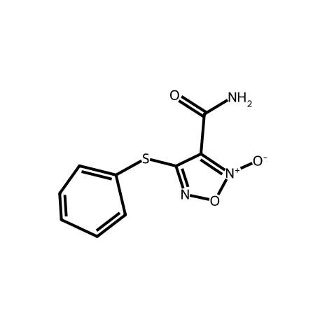 NC(=O)c1c(Sc2ccccc2)no[n+]1[O-]